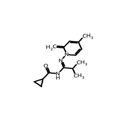 C=C1C=C(C)C=CN1/N=C(/NC(=O)C1CC1)C(C)C